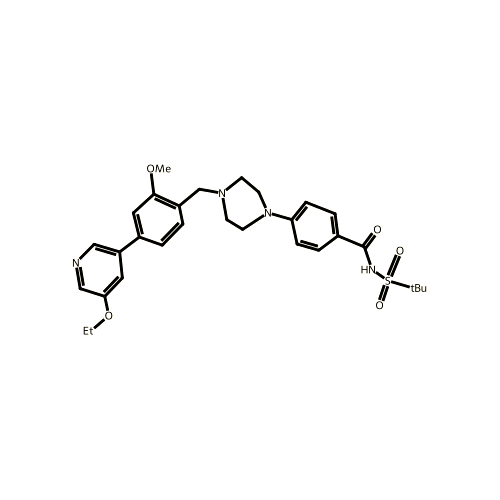 CCOc1cncc(-c2ccc(CN3CCN(c4ccc(C(=O)NS(=O)(=O)C(C)(C)C)cc4)CC3)c(OC)c2)c1